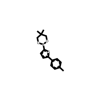 Cc1ccc(-c2ccc(B3OCC(C)(C)CO3)s2)cc1